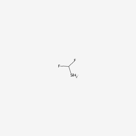 FC(F)[SiH2]